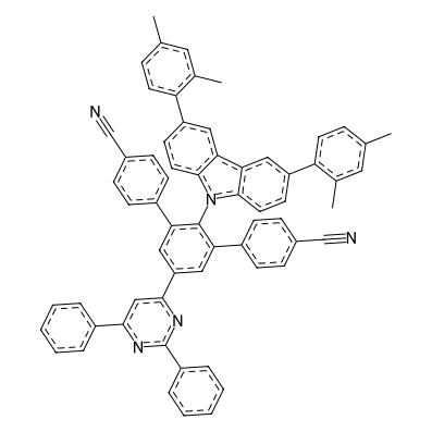 Cc1ccc(-c2ccc3c(c2)c2cc(-c4ccc(C)cc4C)ccc2n3-c2c(-c3ccc(C#N)cc3)cc(-c3cc(-c4ccccc4)nc(-c4ccccc4)n3)cc2-c2ccc(C#N)cc2)c(C)c1